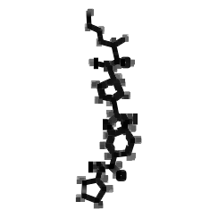 CCCCC(C)C(=O)N(I)c1ccc(-c2nc3cc(C(=O)NC4CCCC4)ccc3[nH]2)cc1